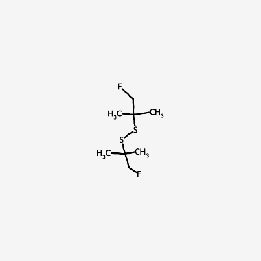 CC(C)(CF)SSC(C)(C)CF